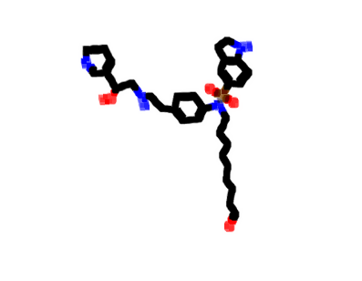 O=CCCCCCCCCN(c1ccc(CCNCC(O)c2cccnc2)cc1)S(=O)(=O)c1ccc2c(c1)CCN2